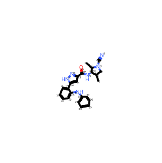 CC1CN(C#N)C(C)[C@@H]1NC(=O)c1cc(-c2ccccc2Nc2ccccc2)[nH]n1